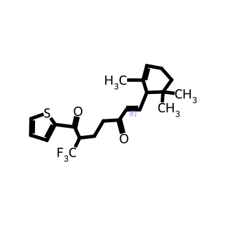 CC1=CCCC(C)(C)C1/C=C/C(=O)CCC(C(=O)c1cccs1)C(F)(F)F